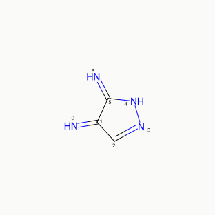 N=C1C=NNC1=N